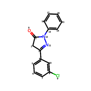 O=C1CC(c2cccc(Cl)c2)=NN1c1ccccc1